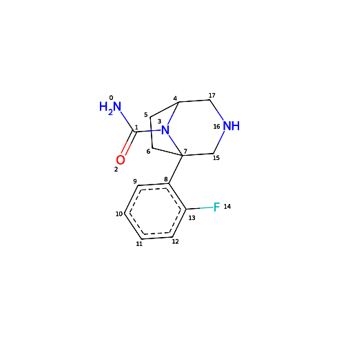 NC(=O)N1C2CCC1(c1ccccc1F)CNC2